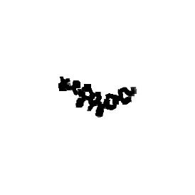 Cc1c(C(=O)N2CCN(c3ccc(F)cc3)CC2)sc2ncn(CC(=O)NC(C)(C)C)c(=O)c12